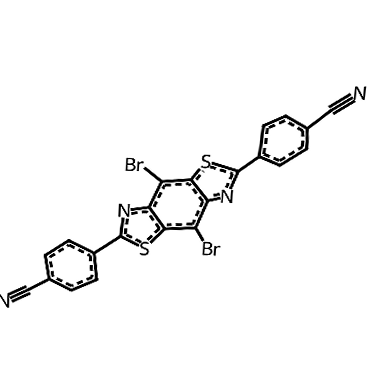 N#Cc1ccc(-c2nc3c(Br)c4sc(-c5ccc(C#N)cc5)nc4c(Br)c3s2)cc1